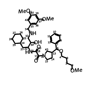 COCCCCOC(c1ccccc1)C1CCN(C(=O)C(=O)NC(CC2CCCCC2)C(O)CNCc2cc(OC)cc(OC)c2)C1